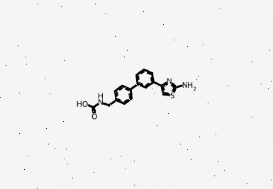 Nc1nc(-c2cccc(-c3ccc(CNC(=O)O)cc3)c2)cs1